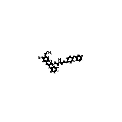 COc1ccc(/C=C2/Sc3ccccc3N(CC(=O)NCCCN3CCC(Cc4ccccc4)CC3)C2=O)cc1Br